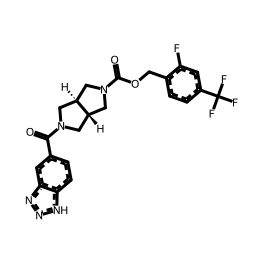 O=C(OCc1ccc(C(F)(F)F)cc1F)N1C[C@@H]2CN(C(=O)c3ccc4[nH]nnc4c3)C[C@H]2C1